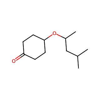 CC(C)CC(C)OC1CCC(=O)CC1